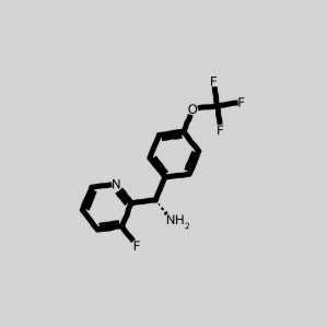 N[C@@H](c1ccc(OC(F)(F)F)cc1)c1ncccc1F